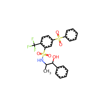 CC(NS(=O)(=O)c1cc(S(=O)(=O)c2ccccc2)ccc1C(F)(F)F)C(O)c1ccccc1